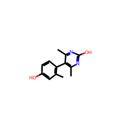 Cc1cc(O)ccc1-c1c(C)nc(O)nc1C